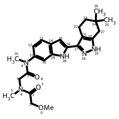 COCC(=O)N(C)CC(=O)N(C)c1ccc2cc(-c3n[nH]c4c3CCC(C)(C)C4)[nH]c2c1